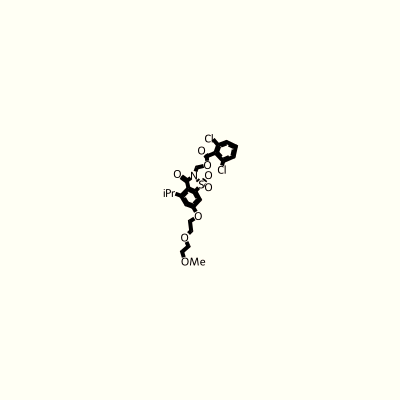 COCCOCCOc1cc(C(C)C)c2c(c1)S(=O)(=O)N(COC(=O)c1c(Cl)cccc1Cl)C2=O